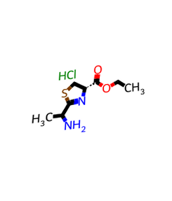 CCOC(=O)[C@H]1CSC(C(C)N)=N1.Cl